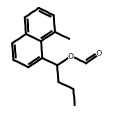 CCCC(O[C]=O)c1cccc2cccc(C)c12